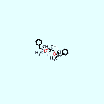 CC(C)(CO[Si](C)(C)Cc1ccccc1)CO[Si](C)(C)Cc1ccccc1